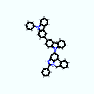 c1ccc(-c2nc3cc(-n4c5ccccc5c5cc(-c6ccc7c(c6)c6ccccc6n7-c6ccccc6)ccc54)cc4c3n2Cc2ccccc2-4)cc1